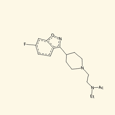 CCN(CCN1CCC(c2noc3cc(F)ccc23)CC1)C(C)=O